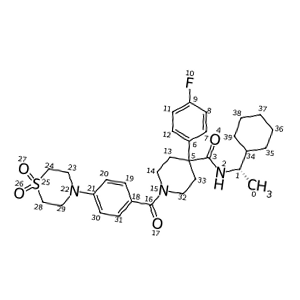 C[C@H](NC(=O)C1(c2ccc(F)cc2)CCN(C(=O)c2ccc(N3CCS(=O)(=O)CC3)cc2)CC1)C1CCCCC1